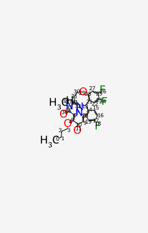 CCCCOc1c2n(ccc1=O)N1C(c3ccc(F)cc3)c3cc(F)c(F)cc3OCC[C@H]1N(C)C2=O